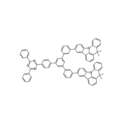 CC1(C)c2ccccc2-n2c3ccc(-c4cccc(-c5cc(-c6ccc(-c7nc(-c8ccccc8)nc(-c8ccccc8)n7)cc6)cc(-c6cccc(-c7ccc8c(c7)c7cccc9c7n8-c7ccccc7C9(C)C)c6)c5)c4)cc3c3cccc1c32